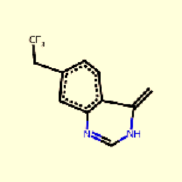 C=C1NC=Nc2cc(CC(F)(F)F)ccc21